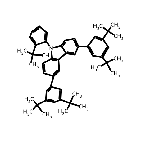 CC(C)(C)c1cc(-c2ccc3c(c2)c2cc(-c4cc(C(C)(C)C)cc(C(C)(C)C)c4)ccc2n3-c2ccccc2C(C)(C)C)cc(C(C)(C)C)c1